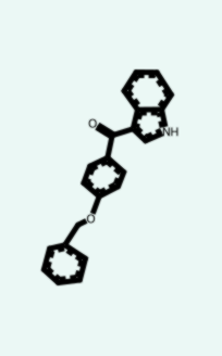 O=C(c1ccc(OCc2ccccc2)cc1)c1c[nH]c2ccccc12